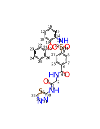 O=C(CNC(=O)c1ccc(S(=O)(=O)Nc2ccccc2Oc2ccccc2)cc1)Nc1nncs1